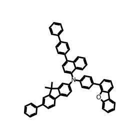 CC1(C)c2cc(-c3ccccc3)ccc2-c2ccc(N(c3ccc(-c4cccc5c4oc4ccccc45)cc3)c3ccc(-c4ccc(-c5ccccc5)cc4)c4ccccc34)cc21